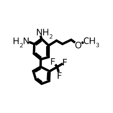 COCCCc1cc(-c2ccccc2C(F)(F)F)cc(N)c1N